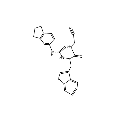 N#CCNC(=O)C(Cc1csc2ccccc12)NC(=O)Nc1ccc2c(c1)CCC2